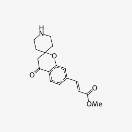 COC(=O)C=Cc1ccc2c(c1)OC1(CCNCC1)CC2=O